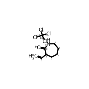 C=CC1CCCCNC1=O.ClC(Cl)(Cl)Cl